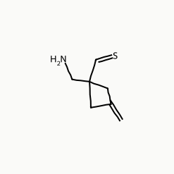 C=C1CC(C=S)(CN)C1